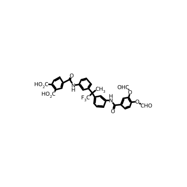 CC(c1cccc(NC(=O)c2ccc(OC=O)c(OC=O)c2)c1)(c1cccc(NC(=O)c2ccc(C(=O)O)c(C(=O)O)c2)c1)C(F)(F)F